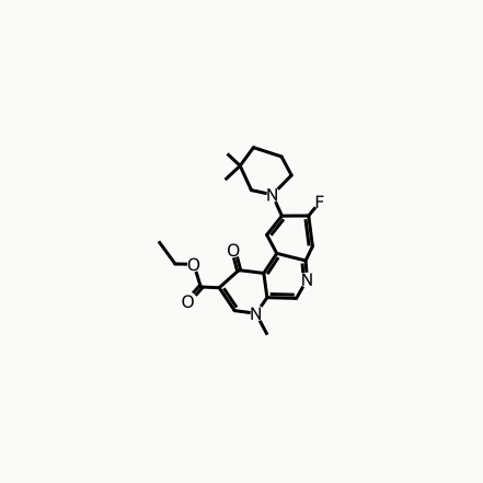 CCOC(=O)c1cn(C)c2cnc3cc(F)c(N4CCCC(C)(C)C4)cc3c2c1=O